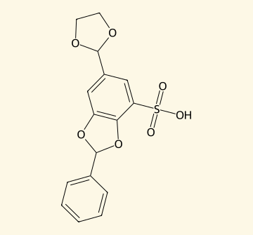 O=S(=O)(O)c1cc(C2OCCO2)cc2c1OC(c1ccccc1)O2